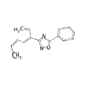 C=C/C(=C\C=C/C)c1noc(-c2ccccc2)n1